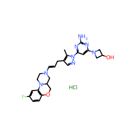 Cc1c(CC=CN2CCN3c4cc(F)ccc4OCC3C2)cnn1-c1cc(N2CC(O)C2)nc(N)n1.Cl